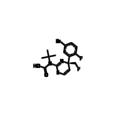 CC(C)(C)N(C(=O)O)C1=N[C@](CF)(c2cc(Br)ccc2F)C=CS1